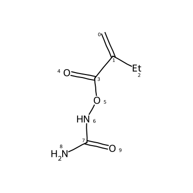 C=C(CC)C(=O)ONC(N)=O